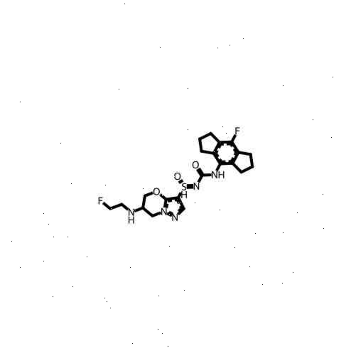 O=C(/N=[SH](=O)/c1cnn2c1OCC(NCCF)C2)Nc1c2c(c(F)c3c1CCC3)CCC2